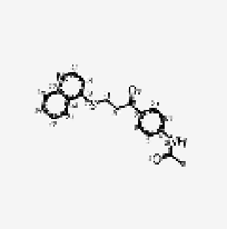 CC(=O)Nc1ccc(C(=O)CCSc2ccnc3ccccc23)cc1